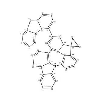 C1=CC2Sc3ccccc3C2C(C2=CC=C3c4c(-n5c6ccccc6c6ccccc65)cccc4C4(CC4)C3C2)=C1